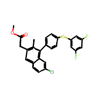 COC(=O)Cc1cc2ccc(Cl)cc2c(-c2ccc(Sc3cc(F)cc(F)c3)cc2)c1C